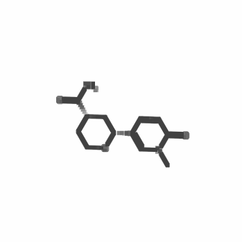 Cn1cc([C@H]2C[C@@H](C(N)=O)CCO2)ccc1=O